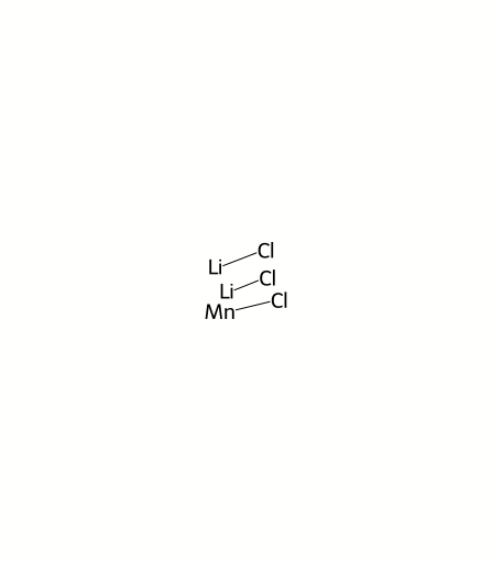 [Cl][Mn].[Li][Cl].[Li][Cl]